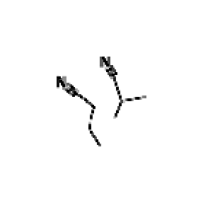 CC(C)C#N.CCCC#N